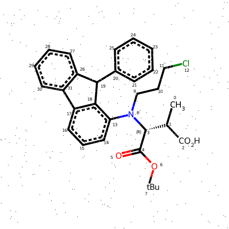 CC(C(=O)O)[C@H](C(=O)OC(C)(C)C)N(CCCCl)c1cccc2c1C(c1ccccc1)c1ccccc1-2